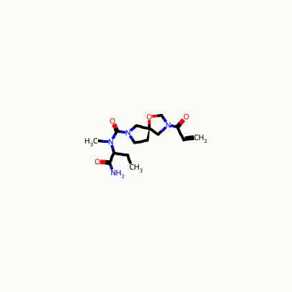 C=CC(=O)N1CO[C@]2(CCN(C(=O)N(C)C(CC)C(N)=O)C2)C1